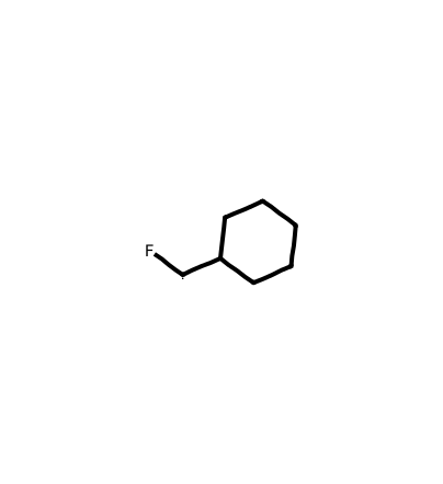 F[CH]C1CCCCC1